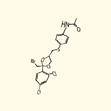 CC(=O)Nc1ccc(SC[C@H]2CO[C@](CBr)(c3ccc(Cl)cc3Cl)O2)cc1